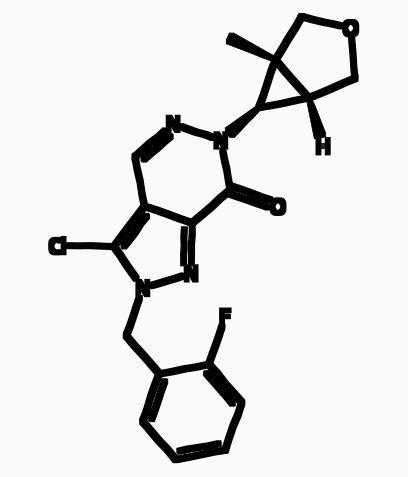 C[C@@]12COC[C@@H]1[C@H]2n1ncc2c(Cl)n(Cc3ccccc3F)nc2c1=O